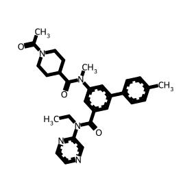 CCN(C(=O)c1cc(-c2ccc(C)cc2)cc(N(C)C(=O)C2CCN(C(C)=O)CC2)c1)c1cnccn1